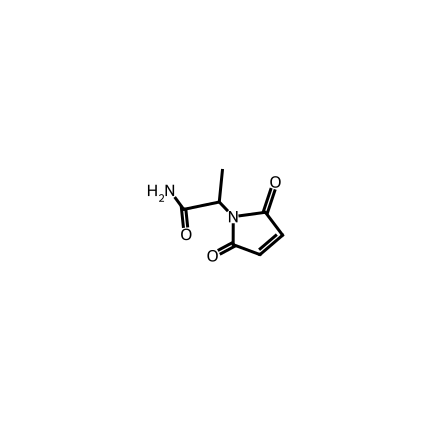 CC(C(N)=O)N1C(=O)C=CC1=O